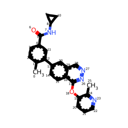 Cc1ccc(C(=O)NC2CC2)cc1-c1ccc2c(Oc3cccnc3C)nncc2c1